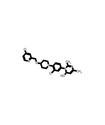 CC1=CC(O)N(c2ccc(N3CCC(OCc4cc(Cl)ccn4)CC3)c(Cl)c2)C(C)=N1